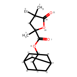 CCC1(C)CC(C)(C(=O)OC23CC4CC(CC(C4)C2)C3)OC1=O